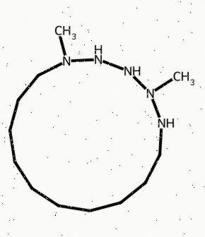 CN1CCCCCCCCCCNN(C)NN1